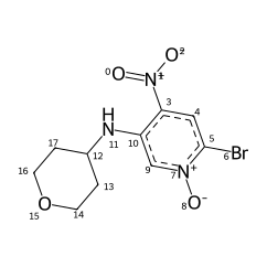 O=[N+]([O-])c1cc(Br)[n+]([O-])cc1NC1CCOCC1